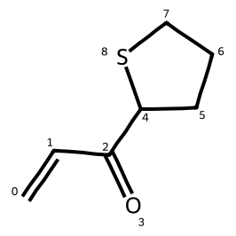 C=CC(=O)C1CCCS1